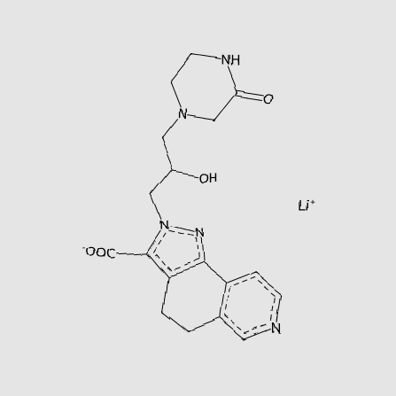 O=C1CN(CC(O)Cn2nc3c(c2C(=O)[O-])CCc2cnccc2-3)CCN1.[Li+]